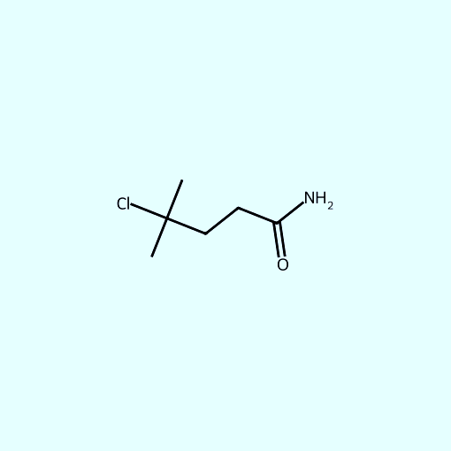 CC(C)(Cl)CCC(N)=O